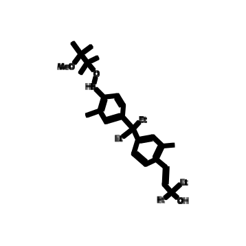 CCC(O)(/C=C/c1ccc(C(CC)(CC)c2ccc(BOC(C)(C)C(C)(C)OC)c(C)c2)cc1C)CC